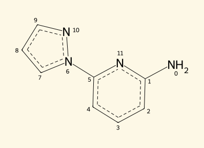 Nc1cccc(-n2cccn2)n1